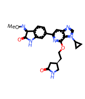 CO/N=C1\C(=O)Nc2cc(-c3cc4ncn(C5CC5)c4c(OCC[C@H]4CNC(=O)C4)n3)ccc21